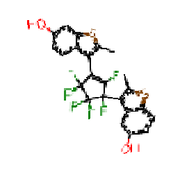 Cc1sc2cc(O)ccc2c1C1=C(F)C(F)(c2c(C)sc3ccc(O)cc23)C(F)(F)C1(F)F